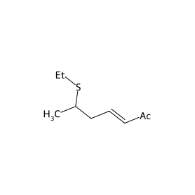 [CH2]C(=O)C=CCC(C)SCC